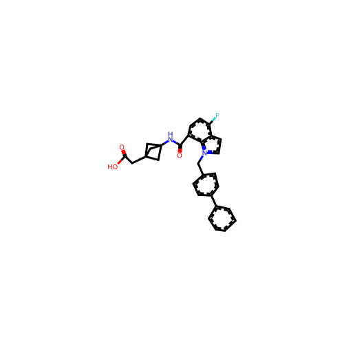 O=C(O)CC12CC(NC(=O)c3ccc(F)c4ccn(Cc5ccc(-c6ccccc6)cc5)c34)(C1)C2